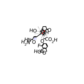 C[C@@H]1CC[C@@]23CCC(=O)[C@H]2[C@@]1(C)[C@H](C(Oc1ccc2c(c1F)B(O)OC2)C(=O)O)C[C@@](C)(/C=C/C(=O)NN)[C@@H](O)[C@@H]3C